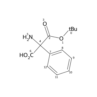 CC(C)(C)OC(=O)C(N)(C(=O)O)c1ccccc1